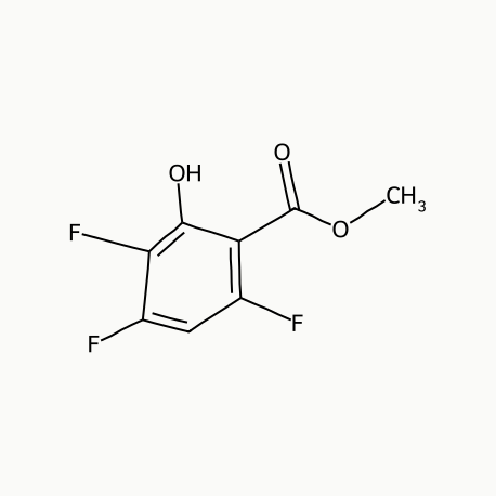 COC(=O)c1c(F)cc(F)c(F)c1O